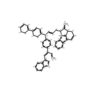 C=C/C(=C\c1coc2ccccc12)c1ccc(N(/C=C/CC2C(=C)C3CC=Cc4c3n2c2ccccc42)C2=CC=C(C3=CC=CCC3)CC2)cc1